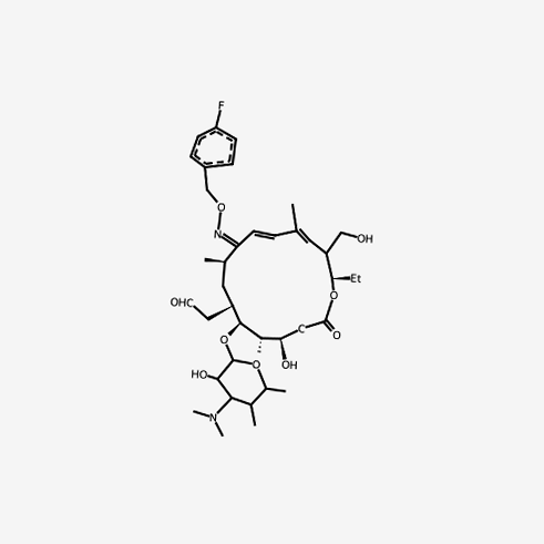 CC[C@H]1OC(=O)C[C@@H](O)[C@H](C)[C@@H](OC2OC(C)C(C)C(N(C)C)C2O)[C@@H](CC=O)C[C@@H](C)C(=N/OCc2ccc(F)cc2)/C=C/C(C)=C/C1CO